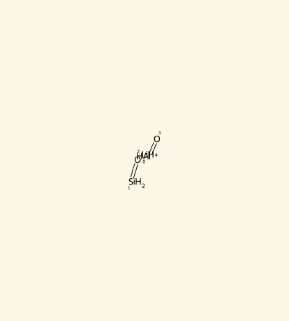 O=[SiH2].[LiH].[O]=[AlH]